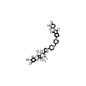 CC1(C)C(NC(=O)c2ccn(C3CCN(CC4CCN(c5ccc6c(c5)C(=O)N(C5CCC(=O)NC5=O)C6=O)CC4)CC3)n2)C(C)(C)C1Oc1ccc(C#N)c(Cl)c1